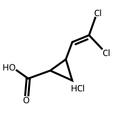 Cl.O=C(O)C1CC1C=C(Cl)Cl